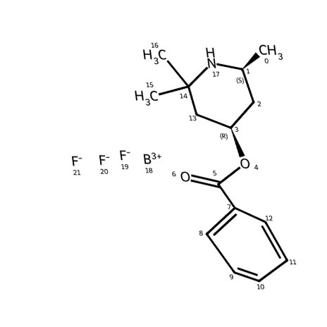 C[C@H]1C[C@@H](OC(=O)c2ccccc2)CC(C)(C)N1.[B+3].[F-].[F-].[F-]